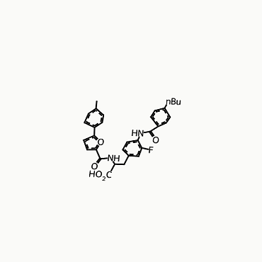 CCCCc1ccc(C(=O)Nc2ccc(CC(NC(=O)c3ccc(-c4ccc(C)cc4)o3)C(=O)O)cc2F)cc1